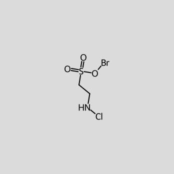 O=S(=O)(CCNCl)OBr